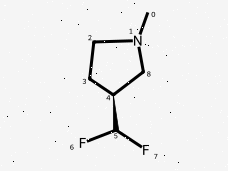 CN1CC[C@H](C(F)F)C1